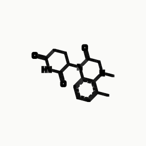 Cc1cccc2c1N(C)CC(=O)N2C1CCC(=O)NC1=O